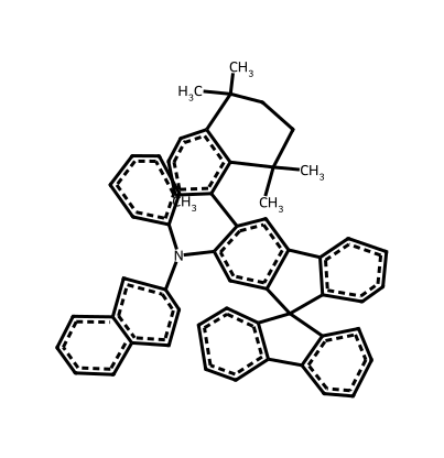 Cc1ccc2c(c1-c1cc3c(cc1N(c1ccccc1)c1ccc4ccccc4c1)C1(c4ccccc4-c4ccccc41)c1ccccc1-3)C(C)(C)CCC2(C)C